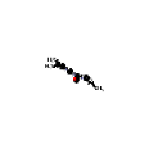 CCCCOC(=O)Oc1ccc(/N=N/c2ccc(/N=N/c3ccc(/N=N/c4ccc(C(CCCC)CCCC)cc4)cc3)c3ccccc23)cc1